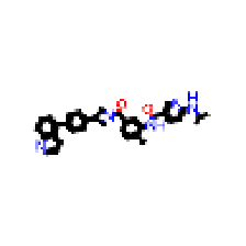 Cc1ccc(C(=O)N2CC(c3ccc(-c4cccc5ncccc45)cc3)C2)cc1NC(=O)c1ccc(NC(C)C)nc1